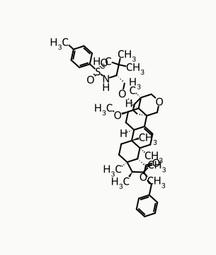 CO[C@@H]1C[C@@]23COC[C@@](C)([C@@H]2CC[C@H]2C3=CC[C@@]3(C)[C@H](C(=O)OCc4ccccc4)[C@@](C)([C@H](C)C(C)C)CC[C@]23C)[C@H]1OC[C@H](NS(=O)(=O)c1ccc(C)cc1)C(C)(C)C